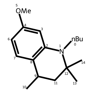 CCCCN1c2cc(OC)ccc2C(C)CC1(C)C